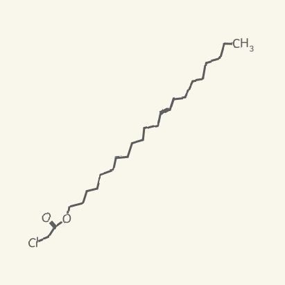 CCCCCCCC/C=C/CCCCCCCCCCCCOC(=O)CCl